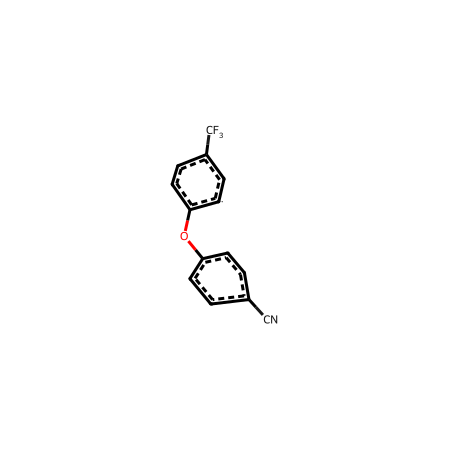 N#Cc1ccc(Oc2[c]cc(C(F)(F)F)cc2)cc1